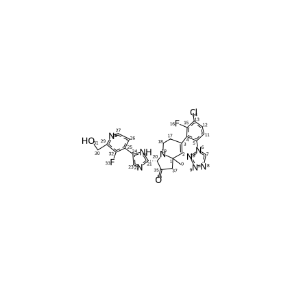 CC12C=C(c3c(-n4cnnn4)ccc(Cl)c3F)CCN1[C@@H](c1ncc(-c3ccnc(CO)c3F)[nH]1)C(=O)C2